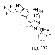 [2H]C([2H])([2H])Oc1nc(N[C@@H]2CCN(C(C)=O)CC2(F)F)nn2cc(F)c(-c3ccc4nnn(CC(F)(F)F)c4c3)c12